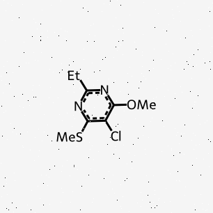 CCc1nc(OC)c(Cl)c(SC)n1